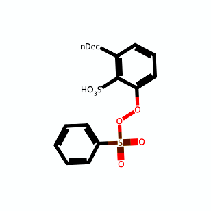 CCCCCCCCCCc1cccc(OOS(=O)(=O)c2ccccc2)c1S(=O)(=O)O